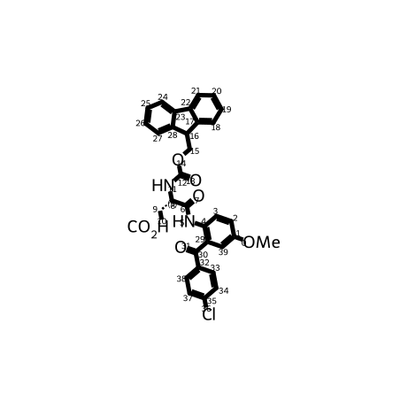 COc1ccc(NC(=O)[C@H](CC(=O)O)NC(=O)OCC2c3ccccc3-c3ccccc32)c(C(=O)c2ccc(Cl)cc2)c1